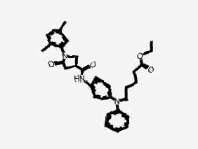 CCOC(=O)CCCCN(c1ccccc1)c1ccc(NC(=O)C2CC(=O)N(c3cc(C)ccc3C)C2)cc1